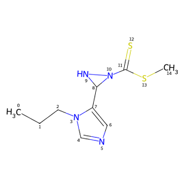 CCCn1cncc1C1NN1C(=S)SC